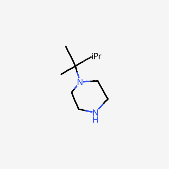 CC(C)C(C)(C)N1CCNCC1